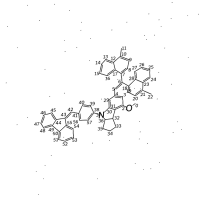 COc1cc(C=C(c2ccc(C)c3ccccc23)c2ccc(C)c3ccccc23)cc2c1C1CCCC1N2c1ccc(C=C2c3ccccc3-c3ccccc32)cc1